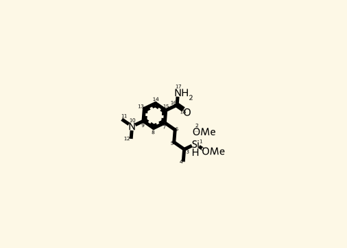 CO[SiH](OC)C(C)CCc1cc(N(C)C)ccc1C(N)=O